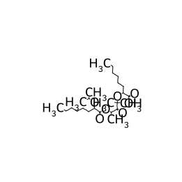 CCCCCCC(OC(C)(C)C(=O)C(C)OC(=O)C(CCCCCC)OC(C)C)C(=O)O